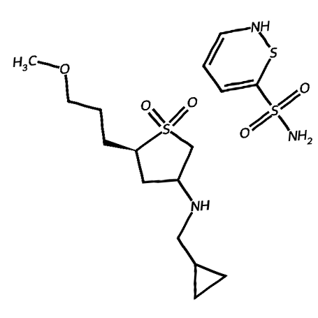 COCCC[C@@H]1CC(NCC2CC2)CS1(=O)=O.NS(=O)(=O)C1=CC=CNS1